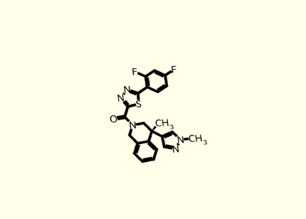 Cn1cc([C@@]2(C)CN(C(=O)c3nnc(-c4ccc(F)cc4F)s3)Cc3ccccc32)cn1